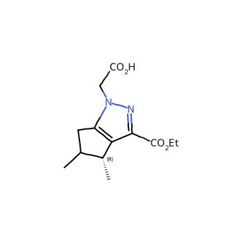 CCOC(=O)c1nn(CC(=O)O)c2c1[C@H](C)C(C)C2